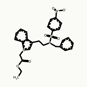 CCOC(=O)Cn1cc(CCN(Cc2ccccc2)S(=O)(=O)c2ccc([N+](=O)[O-])cc2)c2ccccc21